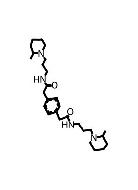 CC1CCCCN1CCCNC(=O)Cc1ccc(CC(=O)NCCCN2CCCCC2C)cc1